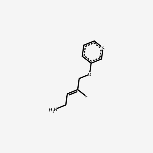 NCC=C(F)COc1cccnc1